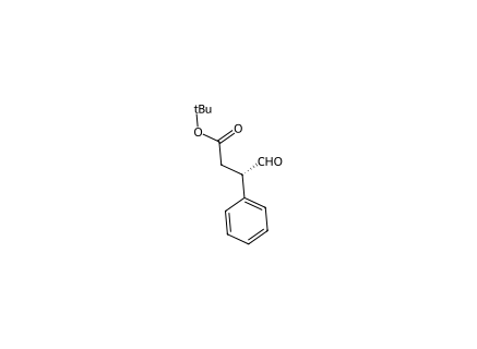 CC(C)(C)OC(=O)C[C@H](C=O)c1ccccc1